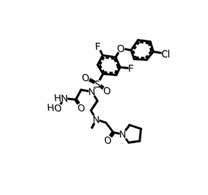 CN(CCN(CC(=O)NO)S(=O)(=O)c1cc(F)c(Oc2ccc(Cl)cc2)c(F)c1)CC(=O)N1CCCC1